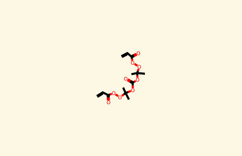 C=CC(=O)OOC(C)(C)OC(=O)OC(C)(C)OOC(=O)C=C